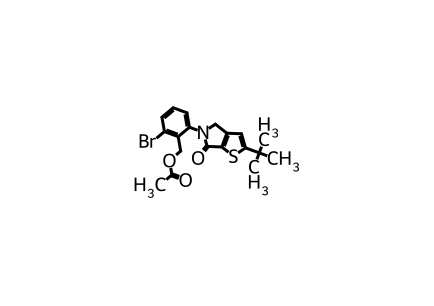 CC(=O)OCc1c(Br)cccc1N1Cc2cc(C(C)(C)C)sc2C1=O